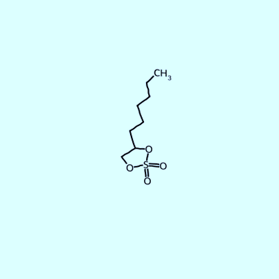 CCCCCCC1COS(=O)(=O)O1